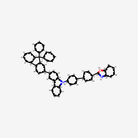 c1ccc(C2(c3ccccc3)c3ccccc3-c3ccc(-c4ccc5c(c4)c4ccccc4n5-c4ccc(-c5ccc(-c6nc7ccccc7o6)cc5)cc4)cc32)cc1